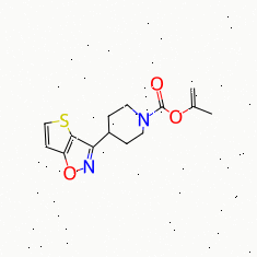 C=C(C)OC(=O)N1CCC(c2noc3ccsc23)CC1